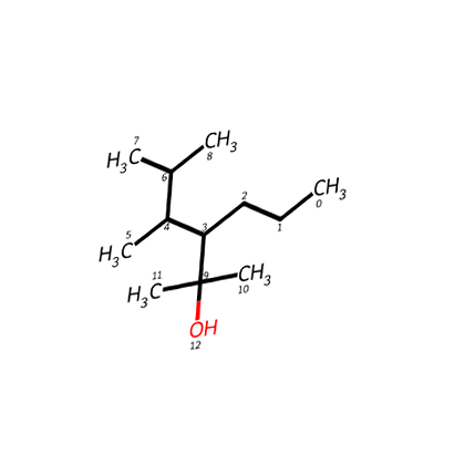 CCCC(C(C)C(C)C)C(C)(C)O